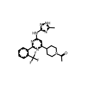 CC(=O)N1CCC(c2cc(Nc3n[nH]c(C)n3)nc(-c3ccccc3C(F)(F)F)n2)CC1